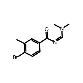 Cc1cc(C(=O)/N=C\N(C)C)ccc1Br